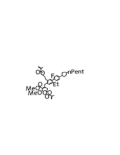 C=C(C)C(=O)OCCCc1cc(-c2ccc(C3CCC(CCCCC)CC3)cc2F)c(CC)cc1CC(CCOC(=O)C(=C)C)=C(C(=O)OC)C(=O)OC